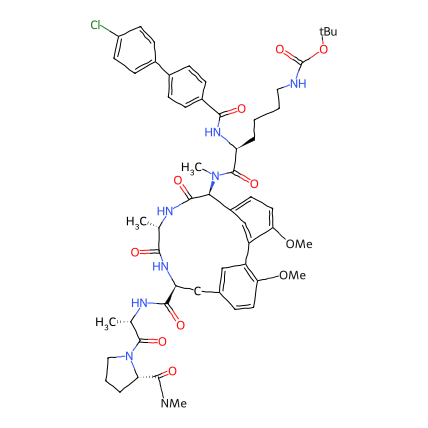 CNC(=O)[C@@H]1CCCN1C(=O)[C@H](C)NC(=O)[C@@H]1Cc2ccc(OC)c(c2)-c2cc(ccc2OC)[C@H](N(C)C(=O)[C@H](CCCCNC(=O)OC(C)(C)C)NC(=O)c2ccc(-c3ccc(Cl)cc3)cc2)C(=O)N[C@@H](C)C(=O)N1